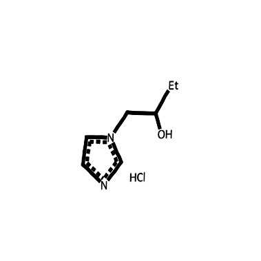 CCC(O)Cn1ccnc1.Cl